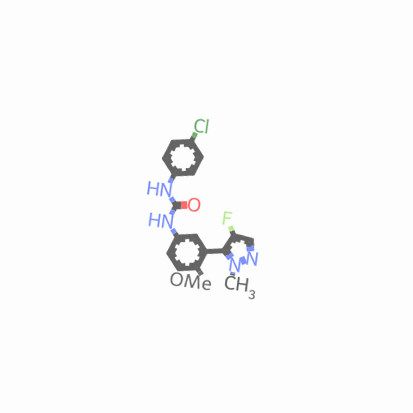 COc1ccc(NC(=O)Nc2ccc(Cl)cc2)cc1-c1c(F)cnn1C